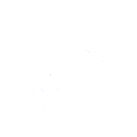 CCC(=Nc1ccc2sc3c(N=C(CC)N(C)C)cccc3c2c1)N(C)C